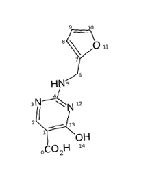 O=C(O)c1cnc(NCc2ccco2)nc1O